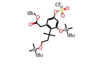 CC(C)(C)OC(=O)Cc1cc(OS(=O)(=O)C(F)(F)F)cc(O[Si](C)(C)C(C)(C)C)c1C(C)(C)CCO[Si](C)(C)C(C)(C)C